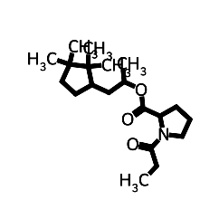 CCC(=O)N1CCCC1C(=O)OC(C)CC1CCC(C)(C)C1(C)C